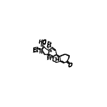 CC[C@@H]1C[C@H]2[C@@H]3CCC4=CC(=O)CCC4=C3C=C[C@]2(CC)[C@H]1O